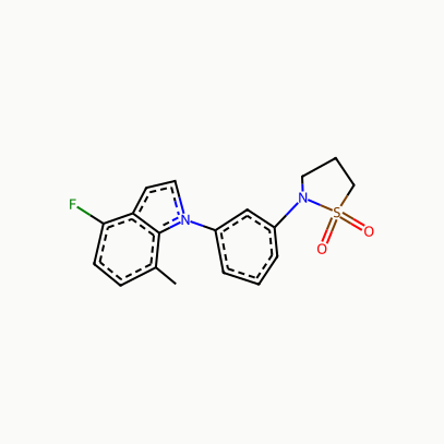 Cc1ccc(F)c2ccn(-c3cccc(N4CCCS4(=O)=O)c3)c12